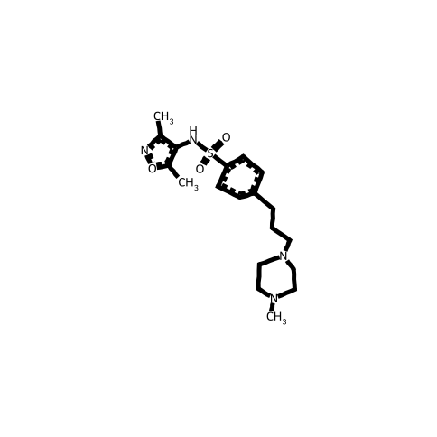 Cc1noc(C)c1NS(=O)(=O)c1ccc(CCCN2CCN(C)CC2)cc1